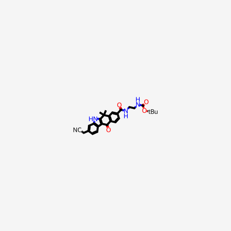 CC(C)(C)OC(=O)NCCNC(=O)c1ccc2c(c1)C(C)(C)c1[nH]c3cc(CC#N)ccc3c1C2=O